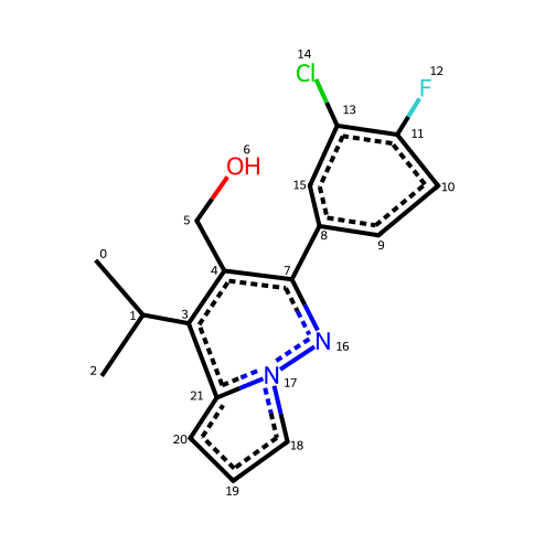 CC(C)c1c(CO)c(-c2ccc(F)c(Cl)c2)nn2cccc12